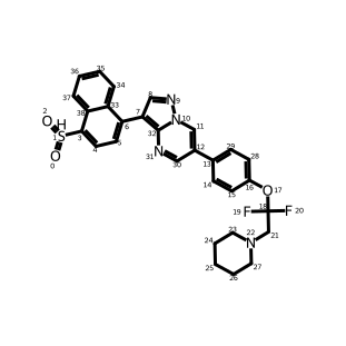 O=[SH](=O)c1ccc(-c2cnn3cc(-c4ccc(OC(F)(F)CN5CCCCC5)cc4)cnc23)c2ccccc12